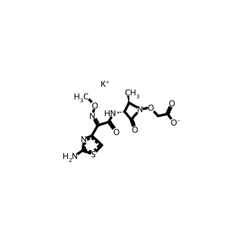 CON=C(C(=O)N[C@H]1C(=O)N(OCC(=O)[O-])[C@@H]1C)c1csc(N)n1.[K+]